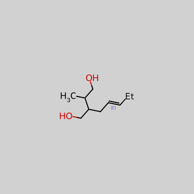 CC/C=C/CC(CO)C(C)CO